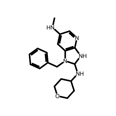 CNc1cnc2c(c1)N(Cc1ccccc1)C(NC1CCOCC1)N2